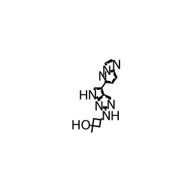 CC1(O)CC(Nc2ncc3c(-c4ccc5nccn5n4)c[nH]c3n2)C1